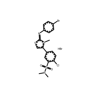 Br.CN(C)S(=O)(=O)c1cc(-c2csc(=Nc3ccc(Br)cc3)n2C)ccc1Cl